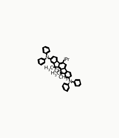 CC(C)c1cc2c(c3c1-c1ccc(N(c4ccccc4)c4ccccc4)cc1C3(C)C)C(C)(C)c1cc(N(c3ccccc3)c3ccccc3)ccc1-2